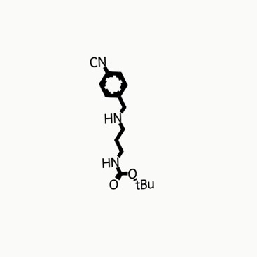 [C-]#[N+]c1ccc(CNCCCNC(=O)OC(C)(C)C)cc1